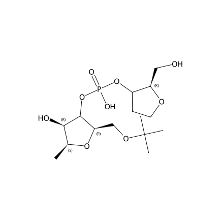 C[C@@H]1O[C@H](COC(C)(C)C)C(OP(=O)(O)OC2CCO[C@@H]2CO)[C@@H]1O